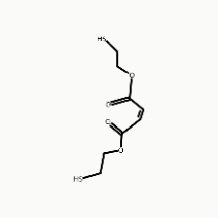 O=C(/C=C\C(=O)OCCS)OCCS